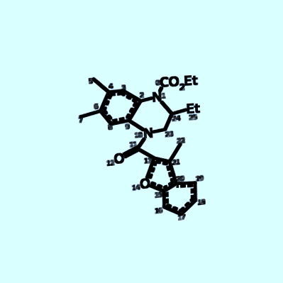 CCOC(=O)N1c2cc(C)c(C)cc2N(C(=O)c2oc3ccccc3c2C)CC1CC